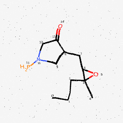 CCCC1(C)OC1CC1CN(P)CC1=O